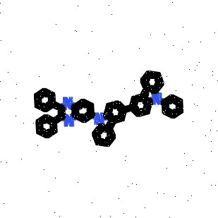 c1ccc(-c2nc3ccc(-n4c5ccccc5c5cc(-c6ccc7c(c6)c6ccccc6n7-c6ccccc6)ccc54)cc3nc2-c2ccccc2)cc1